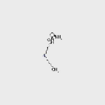 CCCCCCCC/C=C\CCCCCCCC(=O)N[C@@H]1CCCC[C@H]1N